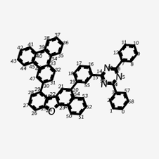 c1ccc(-c2nc(-c3ccccc3)nc(-c3cccc(-c4cc5c(oc6cccc(-c7ccc8c9ccccc9c9ccccc9c8c7)c65)c5ccccc45)c3)n2)cc1